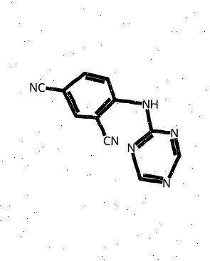 N#Cc1ccc(Nc2ncncn2)c(C#N)c1